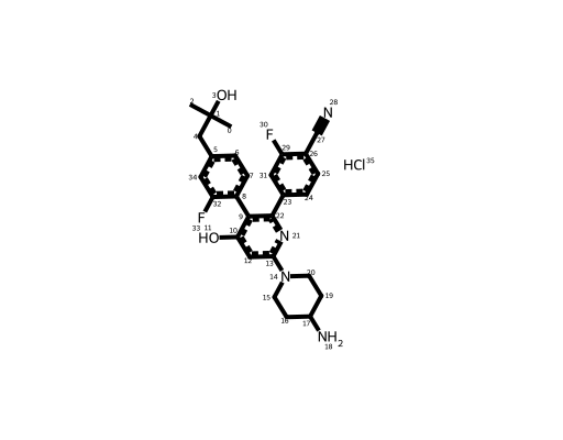 CC(C)(O)Cc1ccc(-c2c(O)cc(N3CCC(N)CC3)nc2-c2ccc(C#N)c(F)c2)c(F)c1.Cl